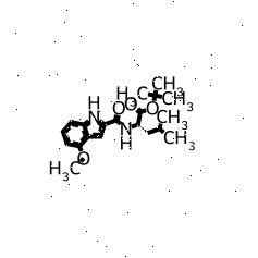 COc1cccc2[nH]c(C(=O)N[C@@H](CC(C)C)C(=O)OC(C)(C)C)cc12